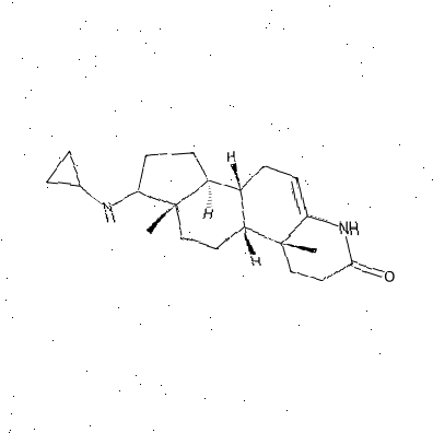 C[C@]12CCC(=O)NC1=CC[C@@H]1[C@H]2CC[C@]2(C)C(NC3CC3)CC[C@@H]12